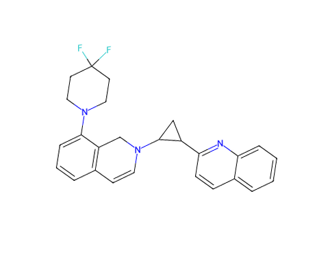 FC1(F)CCN(c2cccc3c2CN(C2CC2c2ccc4ccccc4n2)C=C3)CC1